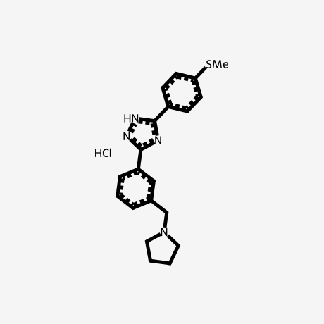 CSc1ccc(-c2nc(-c3cccc(CN4CCCC4)c3)n[nH]2)cc1.Cl